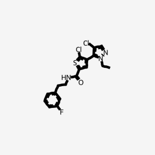 CCn1ncc(Cl)c1-c1cc(C(=O)NCCc2cccc(F)c2)sc1Cl